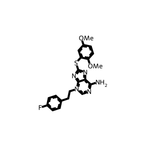 COc1ccc(OC)c(Sc2nc3c(N)ncn(CCc4ccc(F)cc4)c-3n2)c1